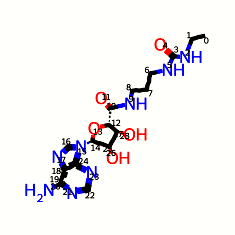 CCNC(=O)NCCCNC(=O)[C@H]1O[C@@H](n2cnc3c(N)ncnc32)[C@H](O)[C@@H]1O